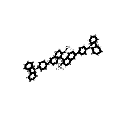 COc1ccc2cc(-c3ccc(-n4c5ccccc5c5ccccc54)cc3)ccc2c1-c1c(OC)ccc2cc(-c3ccc(-n4c5ccccc5c5ccccc54)cc3)ccc12